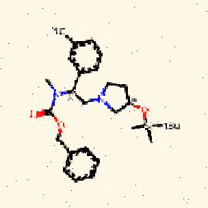 CN(C(=O)OCc1ccccc1)[C@H](CN1CC[C@@H](O[Si](C)(C)C(C)(C)C)C1)c1cccc(C#N)c1